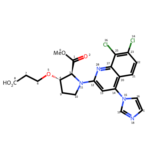 COC(=O)[C@@H]1[C@@H](OCCC(=O)O)CCN1c1cc(-n2ccnc2)c2ccc(Cl)c(Cl)c2n1